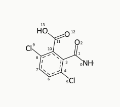 [NH]C(=O)c1c(Cl)ccc(Cl)c1C(=O)O